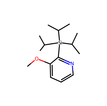 COc1cccnc1[Si](C(C)C)(C(C)C)C(C)C